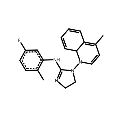 CC1=C2C=CC=CC2N(N2CCN=C2Nc2cc(F)ccc2C)C=C1